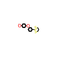 COc1ccc(Oc2cccc(C3SCCCS3)c2)cc1